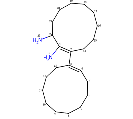 NC1=C(C2=CCCCCCCCCC2)CCCCCCCCC1N